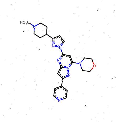 O=C(O)N1CCC(c2ccn(-c3cc(N4CCOCC4)n4nc(-c5ccncc5)cc4n3)n2)CC1